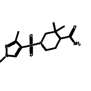 Cc1nn(C)cc1S(=O)(=O)N1CCC(C(N)=O)C(C)(C)C1